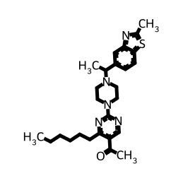 CCCCCCc1nc(N2CCN(C(C)c3ccc4sc(C)nc4c3)CC2)ncc1C(C)=O